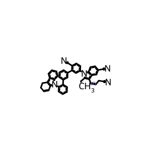 CCc1c(/C=C\CC#N)c2cc(C#N)ccc2n1-c1ccc(C#N)c(-c2cccc(-c3ccccc3-n3c4c(c5ccccc53)CCC=C4)c2)c1